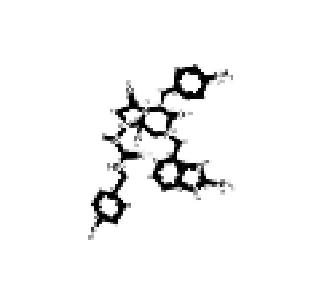 CN(C(=O)NCc1ccc(F)cc1)N1CC(=O)N2[C@@H](Cc3ccc(N)cc3)C(=O)N(Cc3cccc4sc(N)nc34)C[C@@H]21